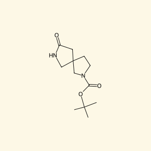 CC(C)(C)OC(=O)N1CCC2(CNC(=O)C2)C1